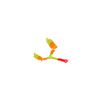 [O-][S+](P=S)P=S